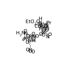 CCOC(=O)CC[C@@H](NC(=O)/C(C)=C/[C@H](C(C)C)N(C)C(=O)C(NC(=O)[C@@H](N(C)C(=O)OCc1ccc(NC(=O)[C@H](CCCNC(N)=O)NC(=O)C(NC(=O)CCCCCN2C(=O)C=CC2=O)C(C)C)cc1)C(C)(C)c1cn(C)c2ccccc12)C(C)(C)C)C(=O)OCC